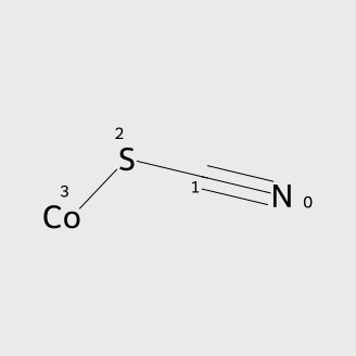 N#C[S][Co]